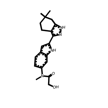 CN(C(=O)CO)c1ccc2cc(-c3n[nH]c4c3CCC(C)(C)C4)[nH]c2c1